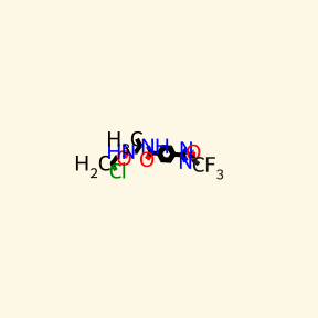 C=C(Cl)CONCC(C)NC(=O)c1ccc(-c2noc(C(F)(F)F)n2)cc1